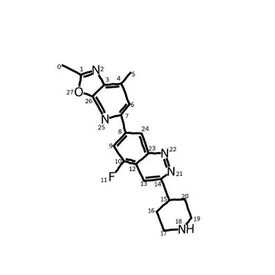 Cc1nc2c(C)cc(-c3cc(F)c4cc(C5CCNCC5)nnc4c3)nc2o1